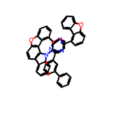 c1ccc(-c2cccc(-c3nc(-c4cccc5oc6ccccc6c45)nc(-c4cccc5oc6ccc7c8ccccc8n(-c8ccccc8)c7c6c45)n3)c2)cc1